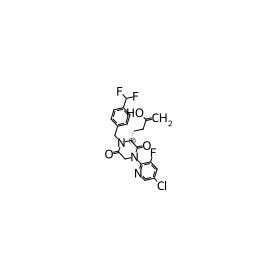 C=C(O)CC[C@@H]1C(=O)N(c2ncc(Cl)cc2F)CC(=O)N1Cc1ccc(C(F)F)cc1